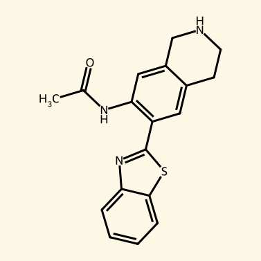 CC(=O)Nc1cc2c(cc1-c1nc3ccccc3s1)CCNC2